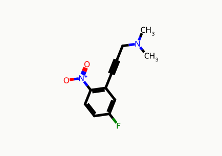 CN(C)CC#Cc1cc(F)ccc1[N+](=O)[O-]